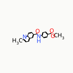 COC(=O)c1ccc(NC(=O)c2ccc3nc(C)ccc3c2)cc1